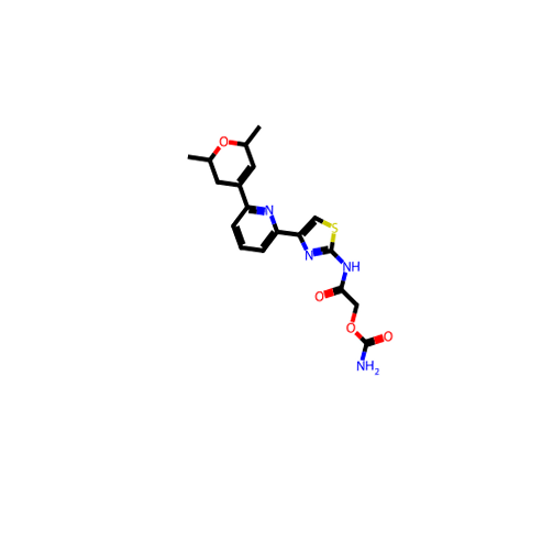 CC1C=C(c2cccc(-c3csc(NC(=O)COC(N)=O)n3)n2)CC(C)O1